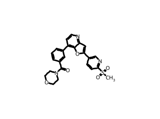 CS(=O)(=O)c1ccc(-c2cc3nccc(-c4cccc(C(=O)N5CCOCC5)c4)c3o2)cn1